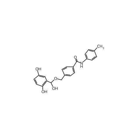 Cc1ccc(NC(=O)c2ccc(COC(O)c3cc(O)ccc3O)cc2)cc1